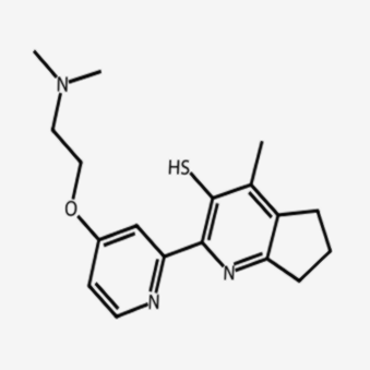 Cc1c(S)c(-c2cc(OCCN(C)C)ccn2)nc2c1CCC2